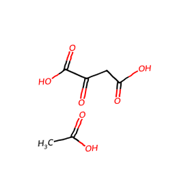 CC(=O)O.O=C(O)CC(=O)C(=O)O